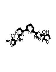 CN1CC[C@](O)(c2nnc(-c3cccc(-c4ccnc(Nc5cnn(C)c5Cl)n4)n3)s2)C1=O